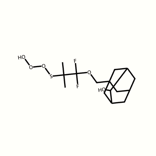 CC(C)(SOOO)C(F)(F)OCC12CC3CC(C1)C(O)C(C3)C2